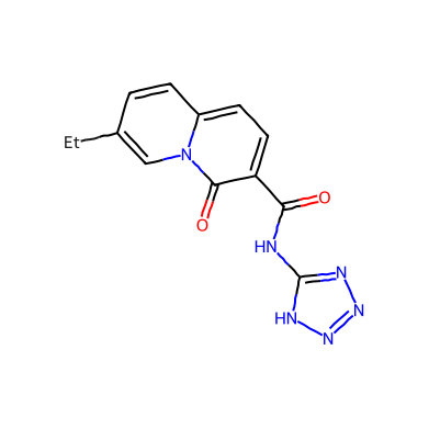 CCc1ccc2ccc(C(=O)Nc3nnn[nH]3)c(=O)n2c1